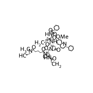 C#CCN(C)C(=O)CCCC(=O)N(C)[C@@H](CNC(=O)C=C)C(=O)N1C[C@H](Oc2cc(-c3ccccc3)nc3cc(OC)ccc23)C[C@H]1C(=O)N[C@]1(C(=O)NS(=O)(=O)c2ccccc2)C[C@H]1C=C